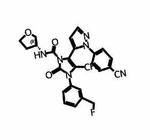 Cc1c(-c2ccnn2-c2ccc(C#N)cc2)n(C(=O)N[C@@H]2CCOC2)c(=O)n1-c1cccc(CF)c1